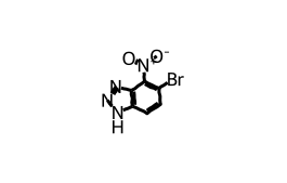 O=[N+]([O-])c1c(Br)ccc2[nH]nnc12